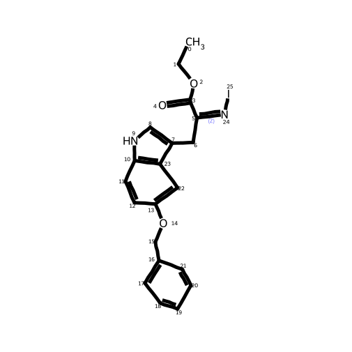 CCOC(=O)/C(Cc1c[nH]c2ccc(OCc3ccccc3)cc12)=N\I